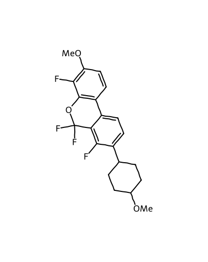 COc1ccc2c(c1F)OC(F)(F)c1c-2ccc(C2CCC(OC)CC2)c1F